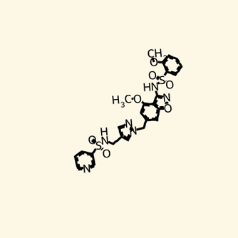 COc1ccccc1S(=O)(=O)Nc1noc2cc(Cn3cc(CNS(=O)(=O)c4cccnc4)cn3)cc(OC)c12